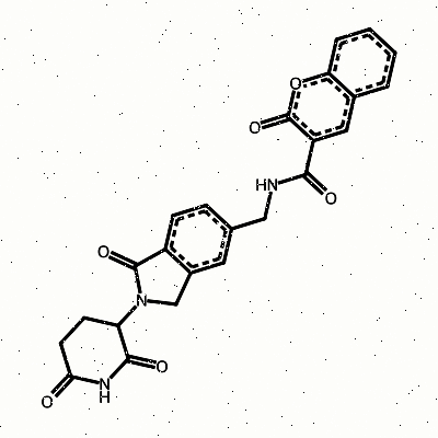 O=C1CCC(N2Cc3cc(CNC(=O)c4cc5ccccc5oc4=O)ccc3C2=O)C(=O)N1